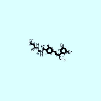 Cc1cc(/C=C/C(c2cc(Br)cc(Br)c2)C(F)(F)F)ccc1C(=O)N[C@H](C)NC(=O)CCC(F)(F)F